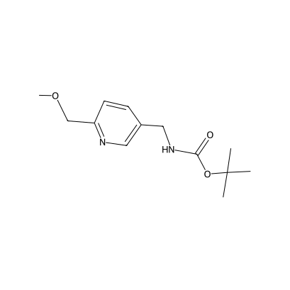 COCc1ccc(CNC(=O)OC(C)(C)C)cn1